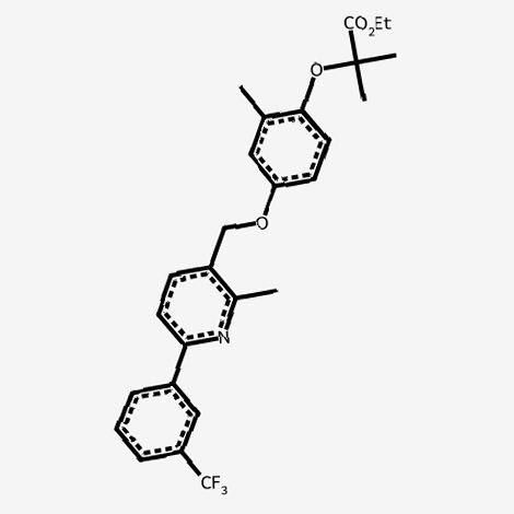 CCOC(=O)C(C)(C)Oc1ccc(OCc2ccc(-c3cccc(C(F)(F)F)c3)nc2C)cc1C